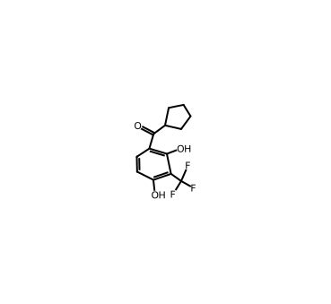 O=C(c1ccc(O)c(C(F)(F)F)c1O)C1CCCC1